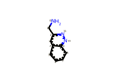 NCc1cc2ccccc2nn1